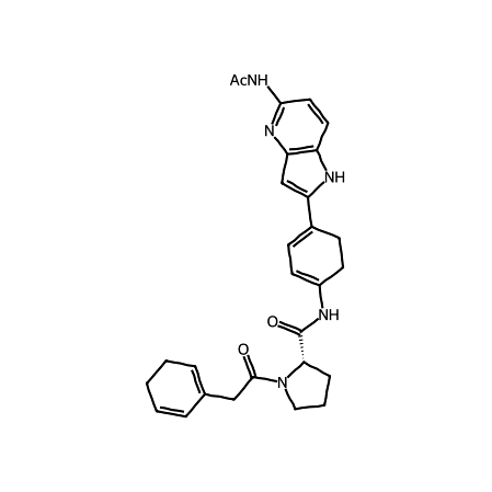 CC(=O)Nc1ccc2[nH]c(C3=CC=C(NC(=O)[C@@H]4CCCN4C(=O)CC4=CCCC=C4)CC3)cc2n1